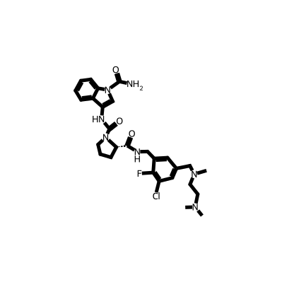 CN(C)CCN(C)Cc1cc(Cl)c(F)c(CNC(=O)[C@@H]2CCCN2C(=O)Nc2cn(C(N)=O)c3ccccc23)c1